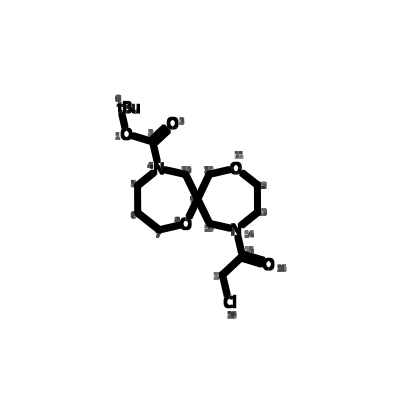 CC(C)(C)OC(=O)N1CCCOC2(COCCN(C(=O)CCl)C2)C1